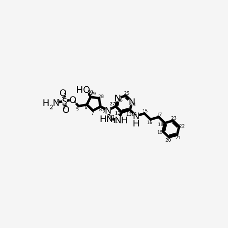 NS(=O)(=O)OCC1CC(N2NNc3c(NCCCc4ccccc4)ncnc32)CC1O